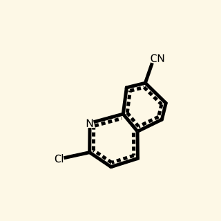 N#Cc1ccc2ccc(Cl)nc2c1